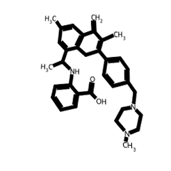 C=C1C(C)=C(c2ccc(CN3CCN(C)CC3)cc2)Cc2c1cc(C)cc2C(C)Nc1ccccc1C(=O)O